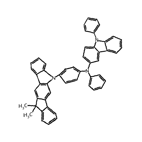 CC1(C)c2ccccc2-c2cc3c(cc21)c1ccccc1n3-c1ccc(N(c2ccccc2)c2ccc3c(c2)c2ccccc2n3-c2ccccc2)cc1